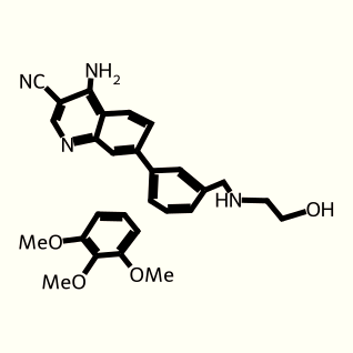 COc1cccc(OC)c1OC.N#Cc1cnc2cc(-c3cccc(CNCCO)c3)ccc2c1N